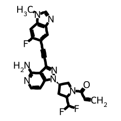 C=CC(=O)N1C[C@@H](n2nc(C#Cc3cc4ncn(C)c4cc3F)c3c(N)nccc32)CC1C(F)F